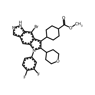 COC(=O)C1CCC(c2c(C3CCOCC3)n(-c3ccc(F)c(F)c3)c3cc4cn[nH]c4c(Br)c23)CC1